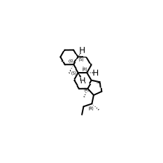 CC[C@@H](C)C1CCC2[C@@H]3CC[C@@H]4CCCC[C@]4(C)[C@H]3CC[C@]12C